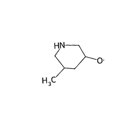 CC1CNCC([O])C1